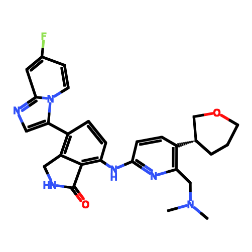 CN(C)Cc1nc(Nc2ccc(-c3cnc4cc(F)ccn34)c3c2C(=O)NC3)ccc1[C@H]1CCCOC1